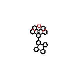 C1=CC2c3ccccc3-c3ccc(-c4cc(-c5ccccc5)c(B5c6ccccc6Oc6ccccc65)c(-c5ccccc5)c4)cc3-c3ccccc3C2C=C1